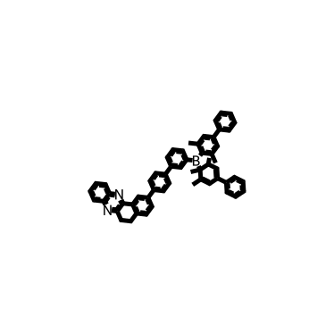 CC1=CC(c2ccccc2)=CC(C)C1(C)B(c1cccc(-c2ccc(-c3ccc4c(c3)-c3nc5ccccc5nc3CC4)cc2)c1)c1c(C)cc(-c2ccccc2)cc1C